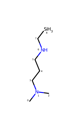 CN(C)CCCNC[SiH3]